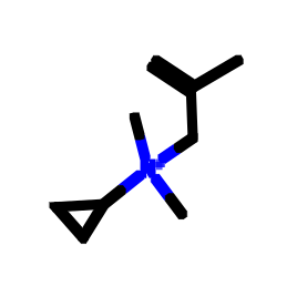 C=C(C)C[N+](C)(C)C1CC1